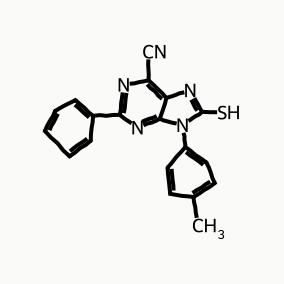 Cc1ccc(-n2c(S)nc3c(C#N)nc(-c4ccccc4)nc32)cc1